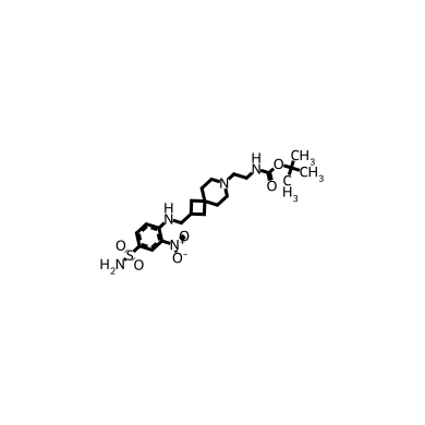 CC(C)(C)OC(=O)NCCN1CCC2(CC1)CC(CNc1ccc(S(N)(=O)=O)cc1[N+](=O)[O-])C2